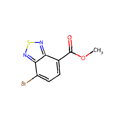 COC(=O)c1ccc(Br)c2nsnc12